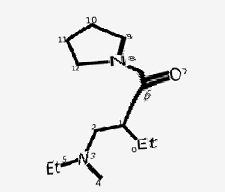 CCC(CN(C)CC)C(=O)N1CCCC1